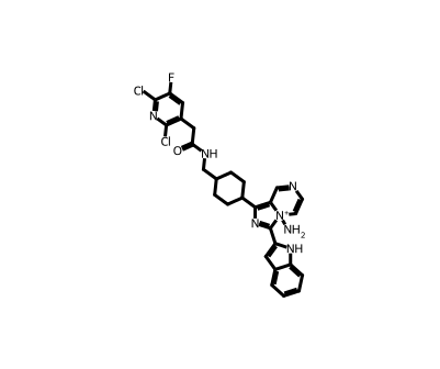 N[N+]12C=CN=CC1=C(C1CCC(CNC(=O)Cc3cc(F)c(Cl)nc3Cl)CC1)N=C2c1cc2ccccc2[nH]1